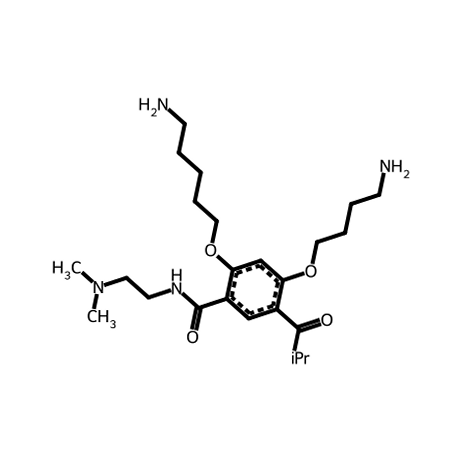 CC(C)C(=O)c1cc(C(=O)NCCN(C)C)c(OCCCCCN)cc1OCCCCN